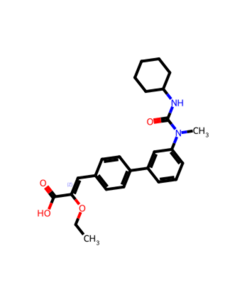 CCO/C(=C\c1ccc(-c2cccc(N(C)C(=O)NC3CCCCC3)c2)cc1)C(=O)O